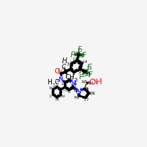 CN(C(=O)C(C)(C)c1cc(C(F)(F)F)cc(C(F)(F)F)c1)c1cnc(N2CCC[C@H]2CO)cc1-c1ccccc1